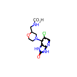 O=C(O)NCC1CN(c2c(Cl)cnc3[nH]c(=O)[nH]c23)CCO1